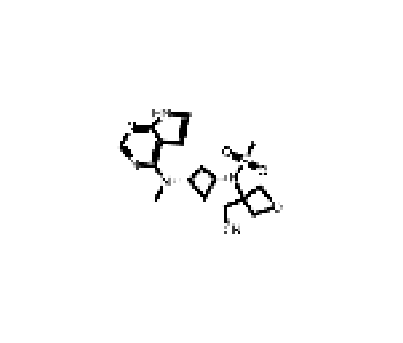 CN(c1ncnc2[nH]ccc12)[C@H]1C[C@@H](N(C2(CC#N)COC2)S(C)(=O)=O)C1